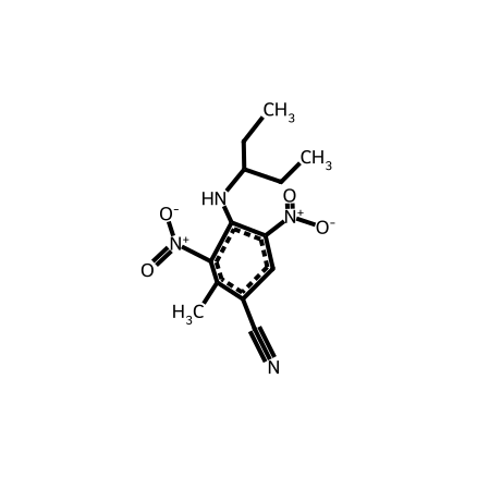 CCC(CC)Nc1c([N+](=O)[O-])cc(C#N)c(C)c1[N+](=O)[O-]